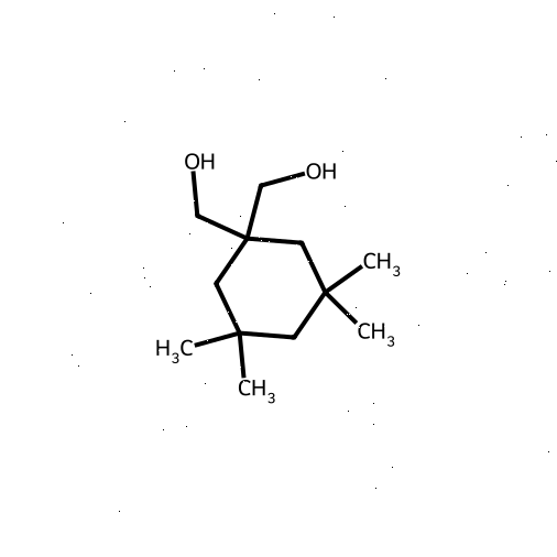 CC1(C)CC(C)(C)CC(CO)(CO)C1